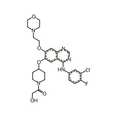 O=C(CO)N1CCC(Oc2cc3c(Nc4ccc(F)c(Cl)c4)ncnc3cc2OCCN2CCOCC2)CC1